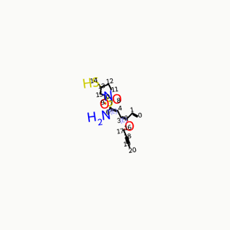 C=C/C(=C\C=C(/N)S(=O)(=O)N1CCC(S)C1)OCC#CC